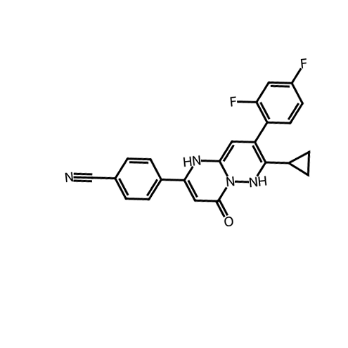 N#Cc1ccc(C2=CC(=O)N3NC(C4CC4)=C(c4ccc(F)cc4F)C=C3N2)cc1